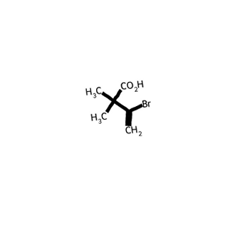 C=C(Br)C(C)(C)C(=O)O